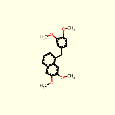 COc1ccc(Cc2cccc3cc(OC)c(OC)cc23)cc1OC